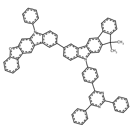 CC1(C)c2ccccc2-c2cc3c4cc(-c5ccc6c(c5)c5cc7c(cc5n6-c5ccccc5)oc5ccccc57)ccc4n(-c4ccc(-c5cc(-c6ccccc6)nc(-c6ccccc6)n5)cc4)c3cc21